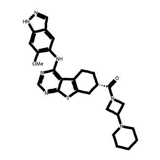 COc1cc2[nH]ncc2cc1Nc1ncnc2sc3c(c12)CC[C@H](C(=O)N1CC(N2CCCCC2)C1)C3